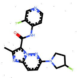 Cc1nc2ccc(N3CCC(F)C3)nn2c1C(=O)Nc1ccncc1F